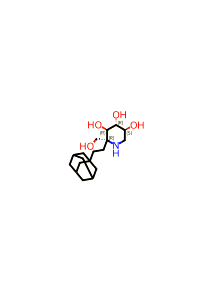 OC[C@@]1(CCC23CC4CC(CC(C4)C2)C3)NC[C@H](O)[C@@H](O)[C@@H]1O